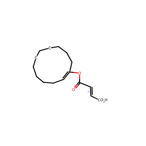 O=C(O)/C=C/C(=O)OC1=CCCCCCCCCCC1